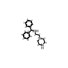 c1ccc(C(NCCN2CCNCC2)c2ccccc2)cc1